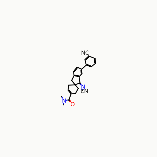 CN(C)C(=O)C1=CCC2(CC1)Cc1ccc(-c3cccc(C#N)c3)cc1/C2=N/C#N